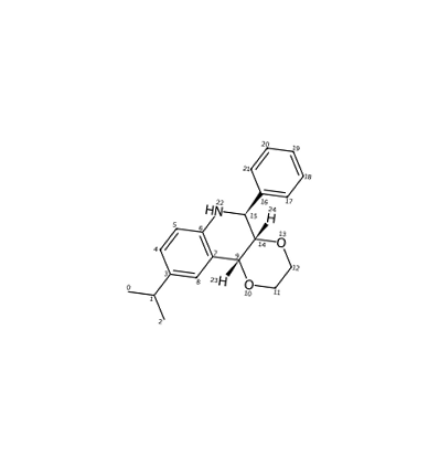 CC(C)c1ccc2c(c1)[C@H]1OCCO[C@H]1[C@H](c1ccccc1)N2